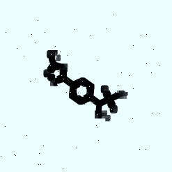 CC(C)S(=O)(=O)C(N)c1ccc(-c2noc(C(F)(F)F)n2)cc1